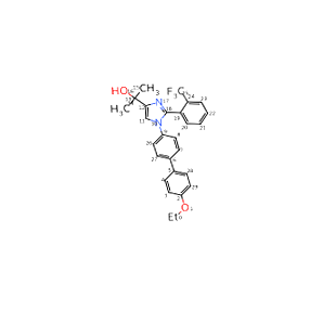 CCOc1ccc(-c2ccc(-n3cc(C(C)(C)O)nc3-c3ccccc3C(F)(F)F)cc2)cc1